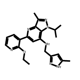 CCOc1ncccc1-c1cc(NCc2cc(C)[nH]n2)c2c(n1)c(C)nn2C(C)C